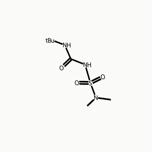 CN(C)S(=O)(=O)NC(=O)NC(C)(C)C